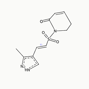 Cc1n[nH]cc1/C=C/S(=O)(=O)N1CCC=CC1=O